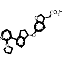 O=C(O)C[C@@H]1COc2cc(O[C@@H]3CCc4c(-c5cccnc5N5CCCC5)cccc43)ccc21